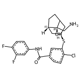 NC[C@@]1(O)C2CC[C@H]1C[C@H](Sc1cc(C(=O)Nc3ccc(F)c(F)c3)ccc1Cl)C2